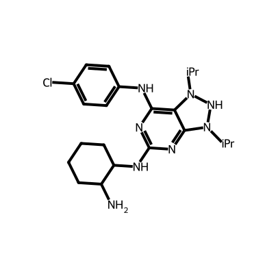 CC(C)N1NN(C(C)C)c2c(Nc3ccc(Cl)cc3)nc(NC3CCCCC3N)nc21